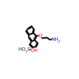 NCCCOc1c2ccccc2cc2ccccc12.O=S(=O)(O)O